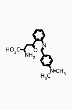 CN(C)c1ccc(C=Nc2ccccc2C(=O)CC(N)C(=O)O)cc1